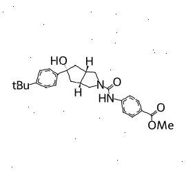 COC(=O)c1ccc(NC(=O)N2C[C@@H]3C[C@@](O)(c4ccc(C(C)(C)C)cc4)C[C@@H]3C2)cc1